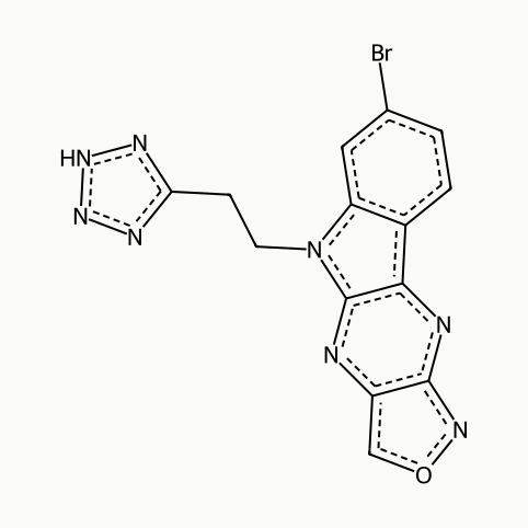 Brc1ccc2c3nc4nocc4nc3n(CCc3nn[nH]n3)c2c1